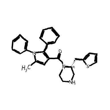 Cc1cc(C(=O)N2CCNC[C@H]2Cc2cccs2)c(-c2ccccc2)n1-c1ccccc1